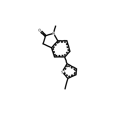 Cc1ccc(-c2ccc3c(c2)CC(=O)N3C)s1